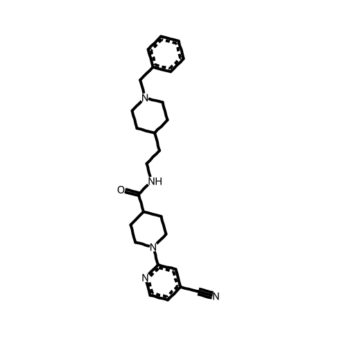 N#Cc1ccnc(N2CCC(C(=O)NCCC3CCN(Cc4ccccc4)CC3)CC2)c1